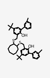 Cc1cccc(-c2cc(C(C)(C)C)cc(CSC3CCCCCCC3SCc3cc(C(C)(C)C)cc(-c4cccc(C)c4)c3O)c2O)c1